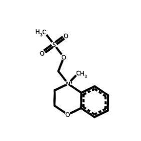 C[N+]1(COS(C)(=O)=O)CCOc2ccccc21